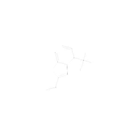 CC(C)c1cc2c(C(F)(F)F)cccc2s1